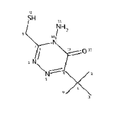 CC(C)(C)c1nnc(CS)n(N)c1=O